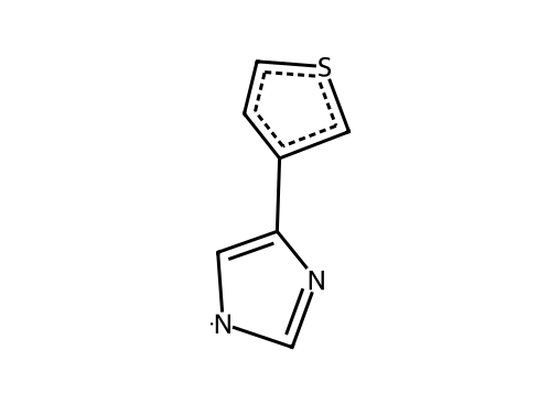 C1=NC(c2ccsc2)=C[N]1